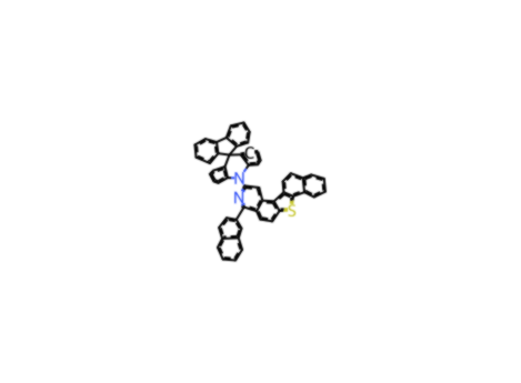 c1ccc2c(c1)-c1ccccc1C21c2ccccc2N(c2cc3c(ccc4sc5c6ccccc6ccc5c43)c(-c3ccc4ccccc4c3)n2)c2ccccc21